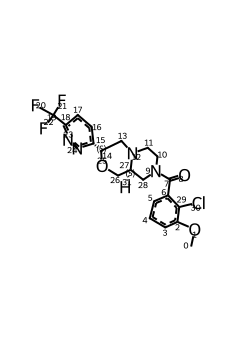 COc1cccc(C(=O)N2CCN3C[C@@H](c4ccc(C(F)(F)F)nn4)OC[C@@H]3C2)c1Cl